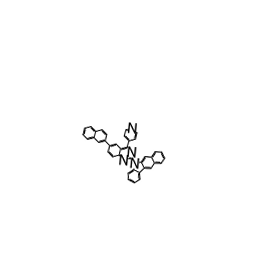 c1ccc2cc(-c3ccc4nc(-n5c6ccccc6c6cc7ccccc7cc65)nc(-c5ccncc5)c4c3)ccc2c1